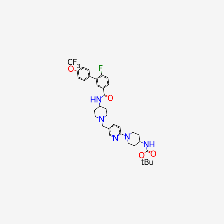 CC(C)(C)OC(=O)NC1CCN(c2ccc(CN3CCC(NC(=O)c4ccc(F)c(-c5ccc(OC(F)(F)F)cc5)c4)CC3)cn2)CC1